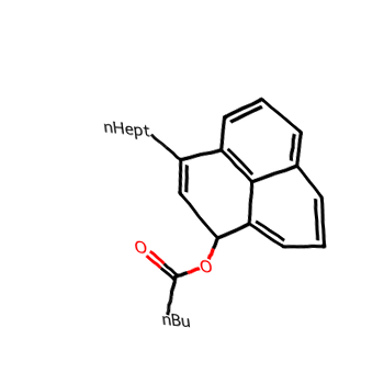 CCCCCCCC1=CC(OC(=O)CCCC)c2cccc3cccc1c23